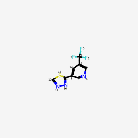 FC(F)(F)c1cncc(-c2nncs2)c1